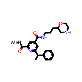 CNC(=O)c1cc(C(=O)NCCCC2CNCCO2)cc(C(C)c2ccccc2)n1